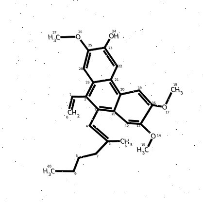 C=Cc1c(/C=C(\C)CCCC)c2cc(OC)c(OC)cc2c2cc(O)c(OC)cc12